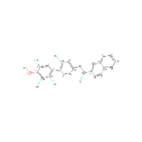 COc1c(F)cc(-c2ccc(CC(F)c3ccc4ccccc4c3)cc2F)c(F)c1F